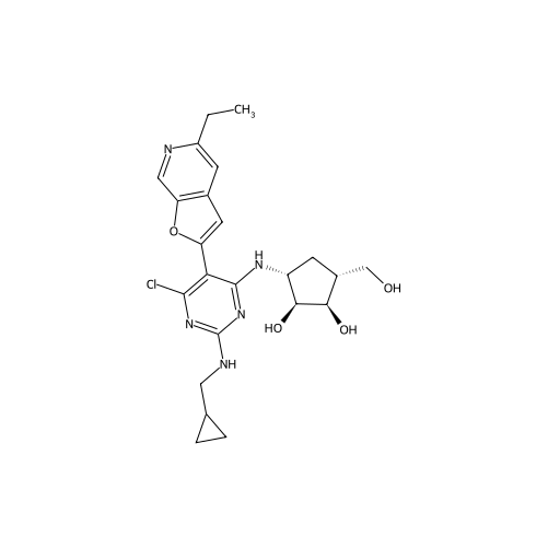 CCc1cc2cc(-c3c(Cl)nc(NCC4CC4)nc3N[C@@H]3C[C@H](CO)[C@@H](O)[C@H]3O)oc2cn1